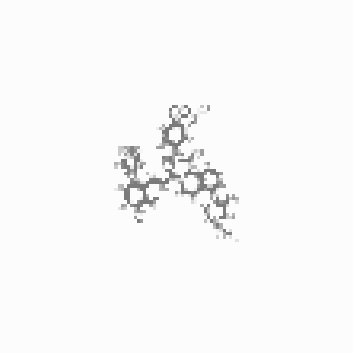 CN1CCN(c2cccc3c2CCN(C(=O)C=Cc2c(-n4cnnn4)ccc(Cl)c2F)[C@@H]3C(=O)Nc2ccc(C(=O)O)cc2)C(=O)C1